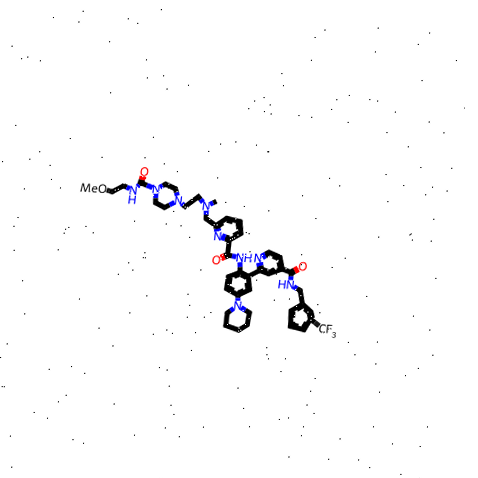 COCCNC(=O)N1CCN(CCN(C)Cc2cccc(C(=O)Nc3ccc(N4CCCCC4)cc3-c3cc(C(=O)NCc4cccc(C(F)(F)F)c4)ccn3)n2)CC1